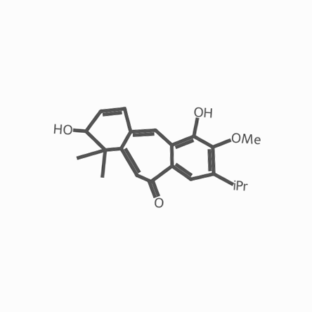 COc1c(C(C)C)cc2c(=O)cc3c(cc2c1O)C=CC(O)C3(C)C